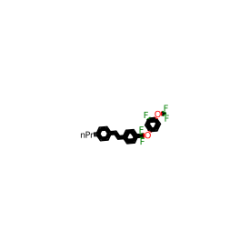 CCCC1CCC(CCc2ccc(C(F)(F)Oc3ccc(OC(F)F)c(F)c3)cc2)CC1